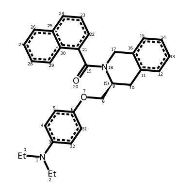 CCN(CC)c1ccc(OC[C@@H]2Cc3ccccc3CN2C(=O)c2cccc3ccccc23)cc1